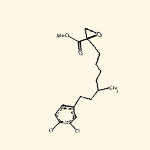 COC(=O)C1(CCCCC(C)CCc2ccc(Cl)c(Cl)c2)CO1